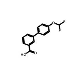 O=C(O)c1cccc(-c2ccc(OC(F)F)cc2)c1